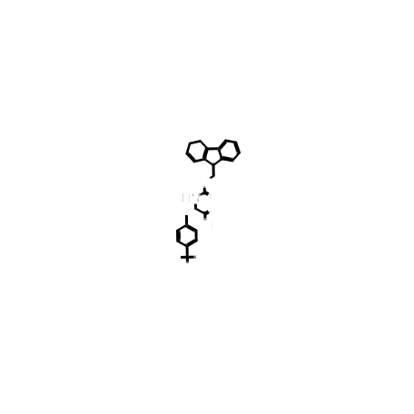 O=C(N[C@@H](Cc1ccc(C(F)(F)F)cc1)C(=O)O)OCC1C2=C(CCC=C2)c2ccccc21